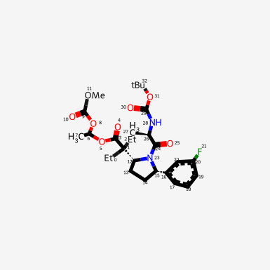 CCC(CC)(C(=O)OC(C)OC(=O)OC)[C@H]1CC[C@@H](c2cccc(F)c2)N1C(=O)[C@@H](C)NC(=O)OC(C)(C)C